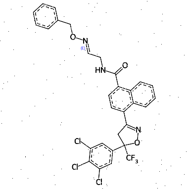 O=C(NC/C=N/OCc1ccccc1)c1ccc(C2=NOC(c3cc(Cl)c(Cl)c(Cl)c3)(C(F)(F)F)C2)c2ccccc12